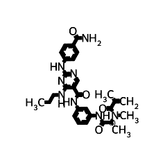 C=C(C)C(=O)N(C)[C@@H](C)C(=O)Nc1cccc(NC(=O)c2cnc(Nc3ccc(C(N)=O)cc3)nc2NCCC)c1